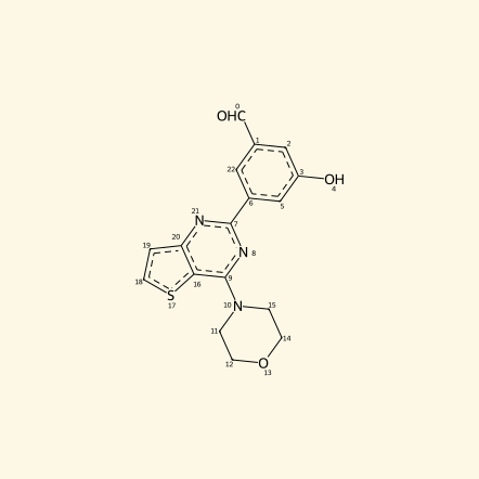 O=Cc1cc(O)cc(-c2nc(N3CCOCC3)c3sccc3n2)c1